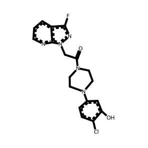 O=C(Cn1nc(F)c2cccnc21)N1CCN(c2ccc(Cl)c(O)c2)CC1